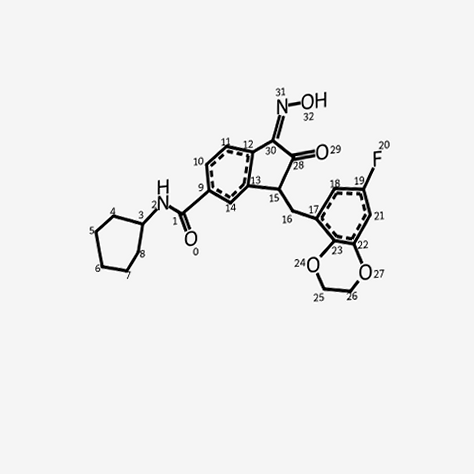 O=C(NC1CCCCC1)c1ccc2c(c1)C(Cc1cc(F)cc3c1OCCO3)C(=O)/C2=N\O